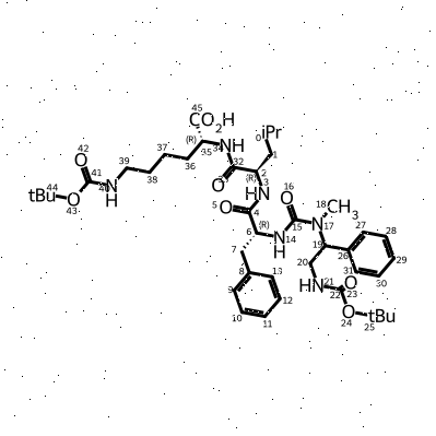 CC(C)C[C@@H](NC(=O)[C@@H](Cc1ccccc1)NC(=O)N(C)C(CNC(=O)OC(C)(C)C)c1ccccc1)C(=O)N[C@H](CCCCNC(=O)OC(C)(C)C)C(=O)O